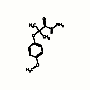 COc1ccc(OC(C)(C)C(=O)NN)cc1